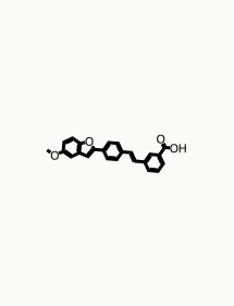 COc1ccc2oc(-c3ccc(C=Cc4cccc(C(=O)O)c4)cc3)cc2c1